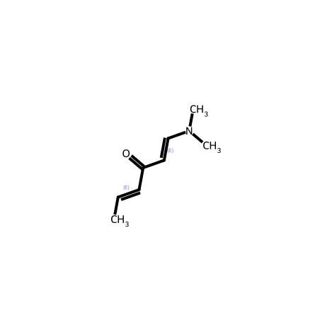 C/C=C/C(=O)/C=C/N(C)C